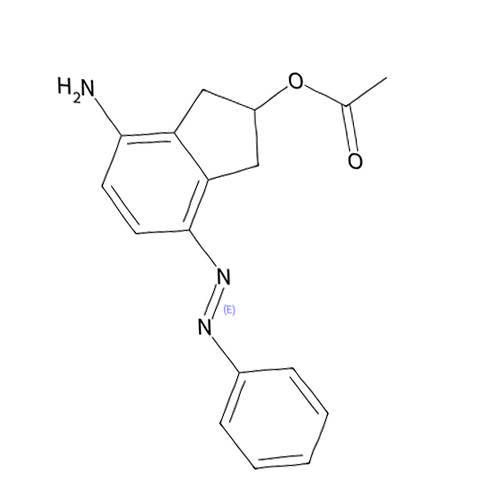 CC(=O)OC1Cc2c(N)ccc(/N=N/c3ccccc3)c2C1